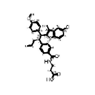 CCC[C@H](c1ccc(C(=O)NCCC(=O)O)cc1)C(c1ccc(OC)cc1)c1sc2ccc(Cl)cc2c1C